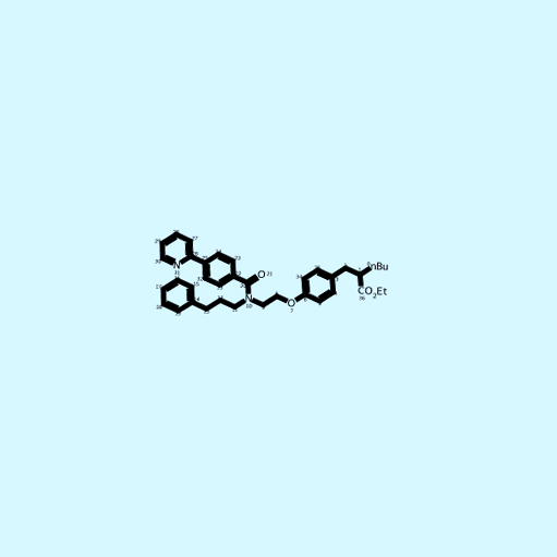 CCCCC(Cc1ccc(OCCN(CCCc2ccccc2)C(=O)c2ccc(-c3ccccn3)cc2)cc1)C(=O)OCC